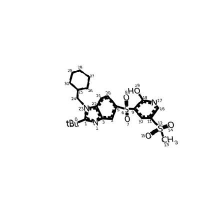 CC(C)(C)c1nc2cc(S(=O)(=O)c3cc(S(C)(=O)=O)cnc3O)ccc2n1CC1CCCCC1